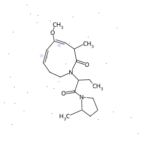 CCC(C(=O)N1CCCC1C)N1CC/C=C\C(OC)=C/C(C)C1=O